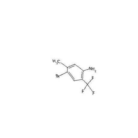 Cc1cc(N)c(C(F)(F)F)cc1Br